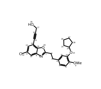 COc1ccc(CCc2nc3cc(Cl)cc(C#CCO)c3o2)cc1OC1CCCC1